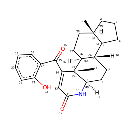 C[C@@]12CCC[C@H]1[C@@H]1CC[C@H]3NC(=O)C=C(C(=O)c4ccccc4O)[C@]3(C)[C@H]1CC2